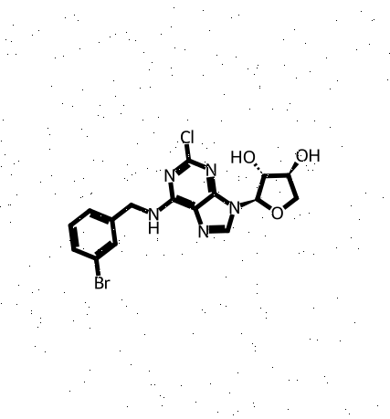 O[C@H]1[C@H](n2cnc3c(NCc4cccc(Br)c4)nc(Cl)nc32)OC[C@@H]1O